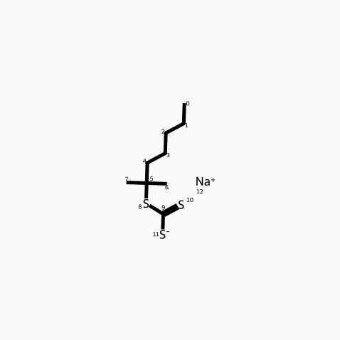 CCCCCC(C)(C)SC(=S)[S-].[Na+]